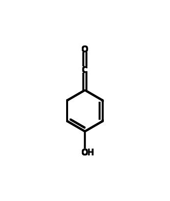 O=C=C1C=CC(O)=CC1